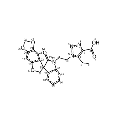 CCc1c(C(=O)O)nnn1CCN1C(=O)C2(COc3cc4c(cc32)OCO4)c2ccccc21